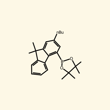 CCCCc1cc(B2OC(C)(C)C(C)(C)O2)c2c(c1)C(C)(C)c1ccccc1-2